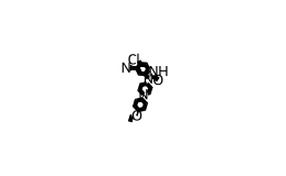 CCO[C@H]1CC[C@H](N2CCC(n3c(=O)[nH]c4cc(Cl)c(C#N)cc43)CC2)CC1